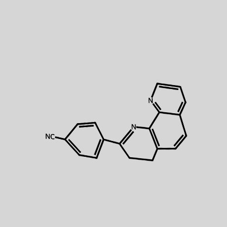 N#Cc1ccc(C2=Nc3c(ccc4cccnc34)CC2)cc1